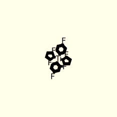 Fc1cc(F)[c]([Ti]([c]2c(F)cc(F)cc2F)([CH]2C=CC=C2)[CH]2C=CC=C2)c(F)c1